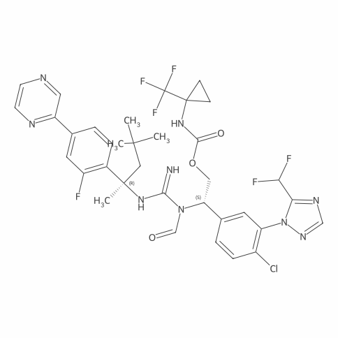 CC(C)(C)C[C@@](C)(NC(=N)N(C=O)[C@H](COC(=O)NC1(C(F)(F)F)CC1)c1ccc(Cl)c(-n2ncnc2C(F)F)c1)c1ccc(-c2cnccn2)cc1F